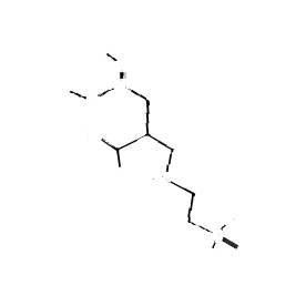 CCO[SiH](CC(CNCCP(=O)(O)O)C(C)O)OCC